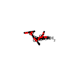 CCCCCCCCC(CCCCCC)OC(=O)CCCCCOCC(OCCCCCC(=O)OC(CCCCCC)CCCCCCCC)C(=O)N(CCCCCCCC)CCOCCOCCOCCOCCON